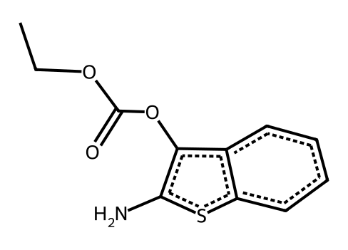 CCOC(=O)Oc1c(N)sc2ccccc12